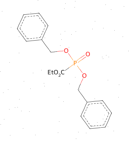 CCOC(=O)P(=O)(OCc1ccccc1)OCc1ccccc1